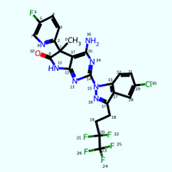 CC1(c2ccc(F)cn2)C(=O)Nc2nc(-n3nc(CCC(F)(F)C(F)(F)F)c4cc(Cl)ccc43)nc(N)c21